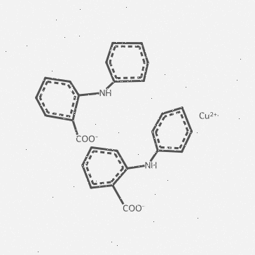 O=C([O-])c1ccccc1Nc1ccccc1.O=C([O-])c1ccccc1Nc1ccccc1.[Cu+2]